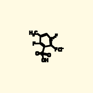 Cc1c[n+](F)c(F)c(S(=O)(=O)O)c1F.[Cl-]